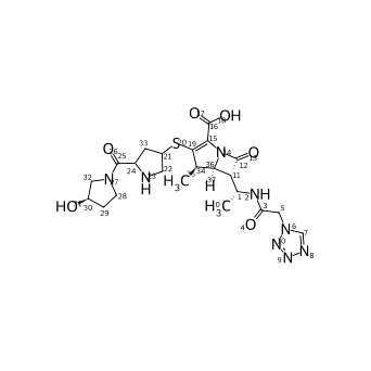 C[C@@H](NC(=O)Cn1cnnn1)[C@H]1C(=O)N2C(C(=O)O)=C(SC3CNC(C(=O)N4CC[C@@H](O)C4)C3)[C@H](C)[C@H]12